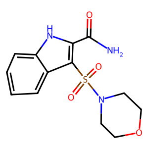 NC(=O)c1[nH]c2ccccc2c1S(=O)(=O)N1CCOCC1